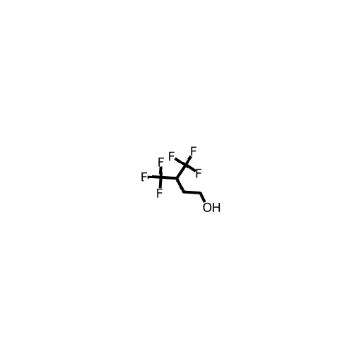 OCC[C](C(F)(F)F)C(F)(F)F